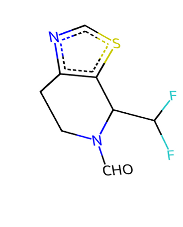 O=CN1CCc2ncsc2C1C(F)F